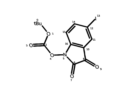 CC(C)(C)OC(=O)ON1C(=O)C(=O)c2cc(I)ccc21